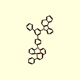 c1ccc(-c2cc(-c3ccc(N(c4ccccc4)c4ccccc4-c4ccccc4-c4ccccc4)cc3)cc(-n3c4ccccc4c4c5ccccc5ccc43)c2)cc1